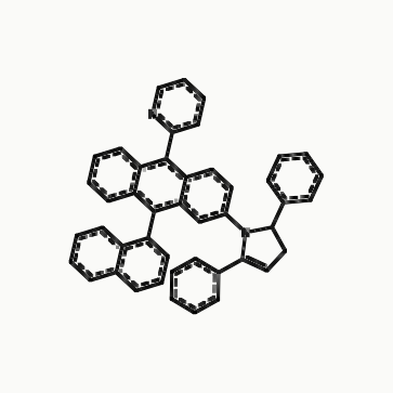 C1=C(c2ccccc2)N(c2ccc3c(-c4ccccn4)c4ccccc4c(-c4cccc5ccccc45)c3c2)C(c2ccccc2)C1